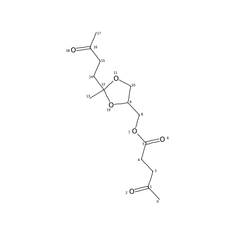 CC(=O)CCC(=O)OCC1COC(C)(CCC(C)=O)O1